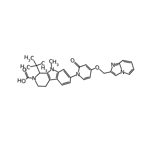 Cn1c2c(c3ccc(-n4ccc(OCc5cn6ccccc6n5)cc4=O)cc31)CCN(C(=O)O)C2C(C)(C)C